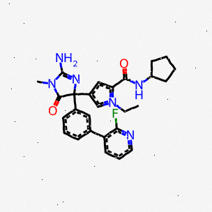 CCn1cc(C2(c3cccc(-c4cccnc4F)c3)N=C(N)N(C)C2=O)cc1C(=O)NC1CCCC1